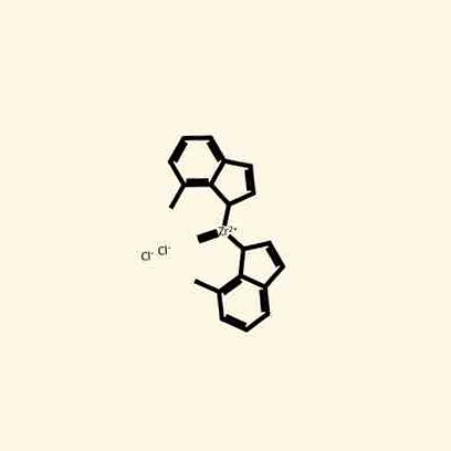 [CH2]=[Zr+2]([CH]1C=Cc2cccc(C)c21)[CH]1C=Cc2cccc(C)c21.[Cl-].[Cl-]